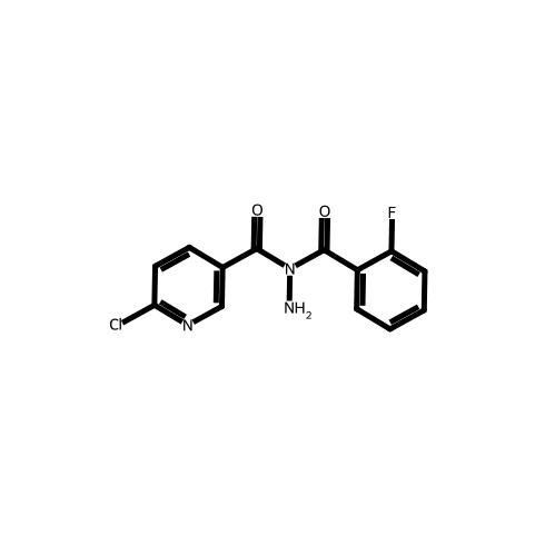 NN(C(=O)c1ccc(Cl)nc1)C(=O)c1ccccc1F